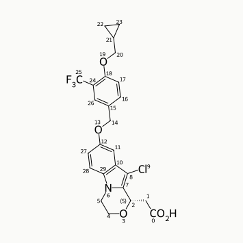 O=C(O)C[C@@H]1OCCn2c1c(Cl)c1cc(OCc3ccc(OCC4CC4)c(C(F)(F)F)c3)ccc12